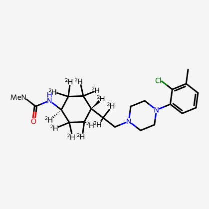 [2H]C1([2H])C([2H])([2H])[C@]([2H])(C([2H])([2H])CN2CCN(c3cccc(C)c3Cl)CC2)C([2H])([2H])C([2H])([2H])[C@@]1([2H])NC(=O)NC